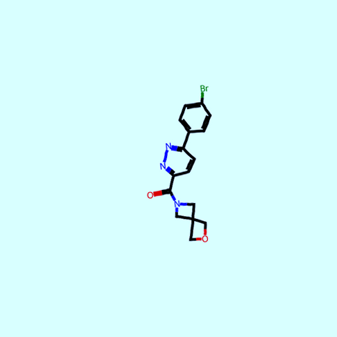 O=C(c1ccc(-c2ccc(Br)cc2)nn1)N1CC2(COC2)C1